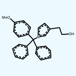 COc1ccc(C(c2ccccc2)(c2ccccc2)n2ccc(CCO)c2)cc1